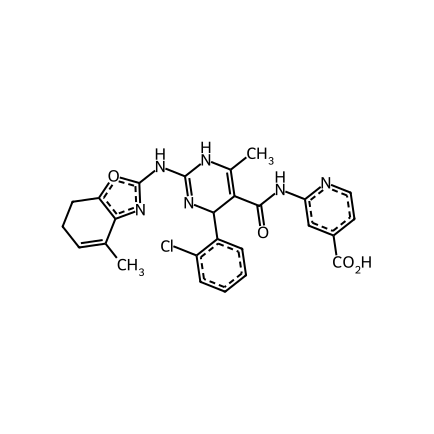 CC1=CCCc2oc(NC3=NC(c4ccccc4Cl)C(C(=O)Nc4cc(C(=O)O)ccn4)=C(C)N3)nc21